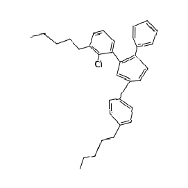 CCCCCc1ccc(-c2ccc(-c3ccccc3)c(-c3cccc(CCCCC)c3Cl)c2)cc1